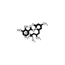 Cc1cc(CC(C)CC(C)(C)C)n(OC(=O)c2cccc(O)c2O)c(=O)c1